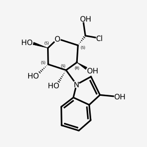 Oc1cn([C@]2(O)[C@H](O)[C@@H](C(O)Cl)O[C@H](O)[C@H]2O)c2ccccc12